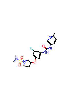 Cc1ccc(NC(=O)Nc2cc(F)cc(OC3CCN(S(=O)(=O)N(C)C)C3)c2)cn1